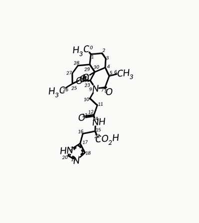 CC1CCC2C(C)C(=O)N(CCC(=O)NC(Cc3cnc[nH]3)C(=O)O)C3OC4(C)CCC1C23OO4